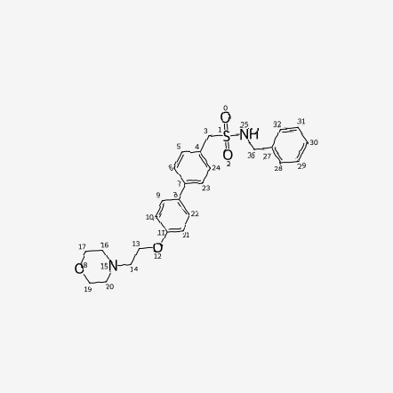 O=S(=O)(Cc1ccc(-c2ccc(OCCN3CCOCC3)cc2)cc1)NCc1ccccc1